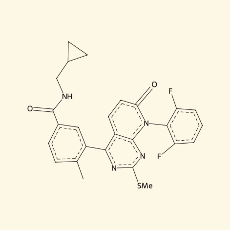 CSc1nc(-c2cc(C(=O)NCC3CC3)ccc2C)c2ccc(=O)n(-c3c(F)cccc3F)c2n1